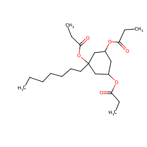 CCCCCCCC1(OC(=O)CC)CC(OC(=O)CC)CC(OC(=O)CC)C1